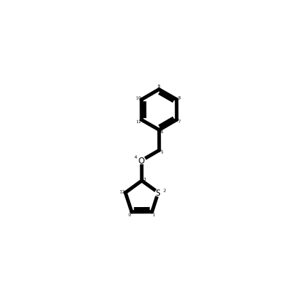 C1=CS[C](OCc2ccccc2)C1